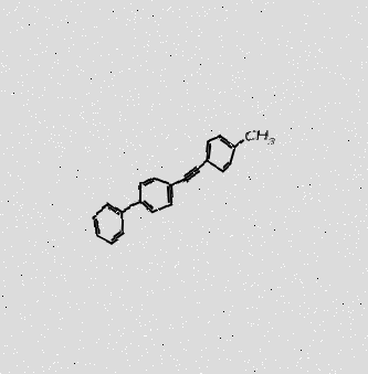 Cc1ccc(C#Cc2ccc(-c3ccccc3)cc2)cc1